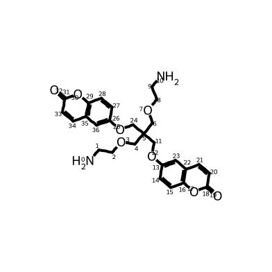 NCCOCC(COCCN)(COc1ccc2oc(=O)ccc2c1)COc1ccc2oc(=O)ccc2c1